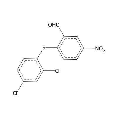 O=Cc1cc([N+](=O)[O-])ccc1Sc1ccc(Cl)cc1Cl